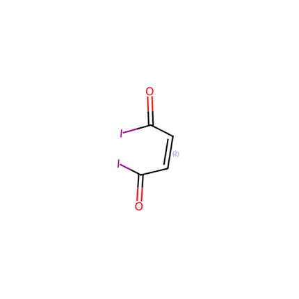 O=C(I)/C=C\C(=O)I